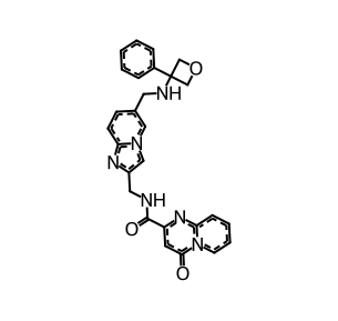 O=C(NCc1cn2cc(CNC3(c4ccccc4)COC3)ccc2n1)c1cc(=O)n2ccccc2n1